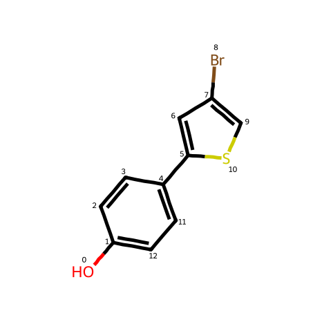 Oc1ccc(-c2cc(Br)cs2)cc1